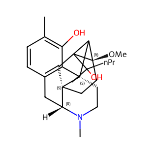 CCCC(C)(O)C12C[C@@]34CC[C@@]1(OC)C2[C@@]31CCN(C)[C@@H]4Cc2ccc(C)c(O)c21